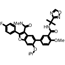 CNC(=O)c1c(-c2ccc(F)cc2)oc2cc(OC(C)C)c(-c3ccc(OC)c(C(=O)NC(C)(C)c4ncon4)c3)cc12